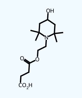 CC1(C)CC(O)CC(C)(C)N1CCOC(=O)CCC(=O)O